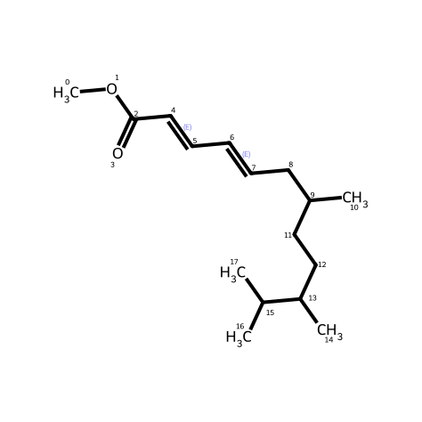 COC(=O)/C=C/C=C/CC(C)CCC(C)C(C)C